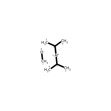 C[CH](C)[Al+][CH](C)C.C[O-]